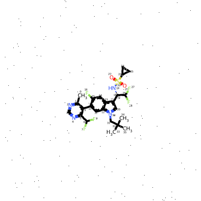 Cc1ncnc(C(F)F)c1-c1cc2c(cc1F)c([C@H](NS(=O)(=O)C1CC1)C(F)F)cn2CC(C)(C)C